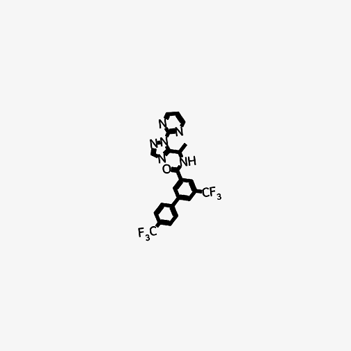 CC(NC(=O)c1cc(-c2ccc(C(F)(F)F)cc2)cc(C(F)(F)F)c1)c1ncnn1-c1ncccn1